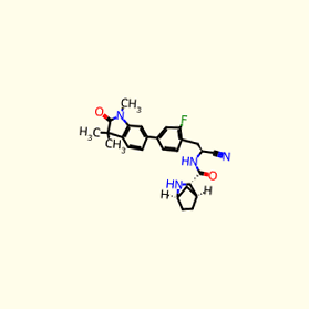 CN1C(=O)C(C)(C)c2ccc(-c3ccc(C[C@@H](C#N)NC(=O)[C@H]4N[C@@H]5CC[C@H]4C5)c(F)c3)cc21